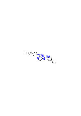 O=C(O)C1CCC(Nc2nccc3nc(Nc4ccc(C(F)(F)F)cc4)nn23)CC1